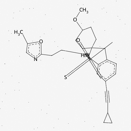 COC1CCC2(CC1)Cc1ccc(C#CC3CC3)cc1C21NC(=S)N(CCc2ncc(C)o2)C1=O